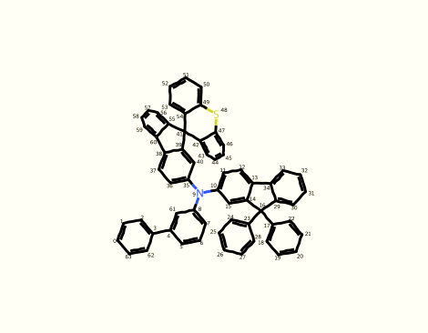 c1ccc(-c2cccc(N(c3ccc4c(c3)C(c3ccccc3)(c3ccccc3)c3ccccc3-4)c3ccc4c(c3)C3(c5ccccc5Sc5ccccc53)c3ccccc3-4)c2)cc1